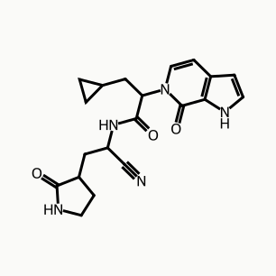 N#CC(CC1CCNC1=O)NC(=O)C(CC1CC1)n1ccc2cc[nH]c2c1=O